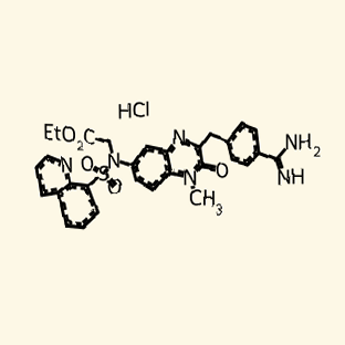 CCOC(=O)CN(c1ccc2c(c1)nc(Cc1ccc(C(=N)N)cc1)c(=O)n2C)S(=O)(=O)c1cccc2cccnc12.Cl